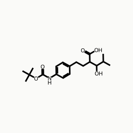 CC(C)C(O)C(CCc1ccc(NC(=O)OC(C)(C)C)cc1)C(=O)O